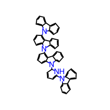 C1=CC(n2c3ccccc3c3c(-n4c5ccccc5c5c(-n6c7ccccc7c7ccccc76)cccc54)cccc32)NC(n2c3ccccc3c3ccccc32)=C1